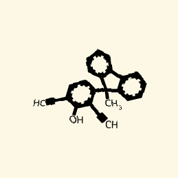 C#Cc1ccc(C2(C)c3ccccc3-c3ccccc32)c(C#C)c1O